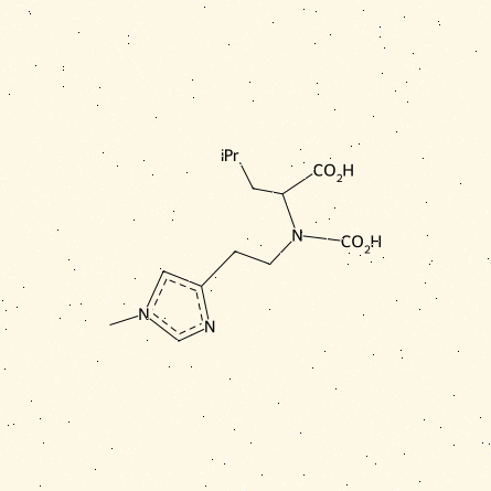 CC(C)CC(C(=O)O)N(CCc1cn(C)cn1)C(=O)O